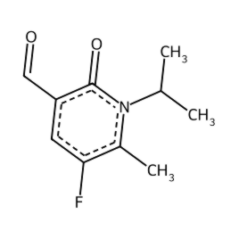 Cc1c(F)cc(C=O)c(=O)n1C(C)C